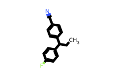 CCC(c1ccc(F)cc1)c1ccc(C#N)cc1